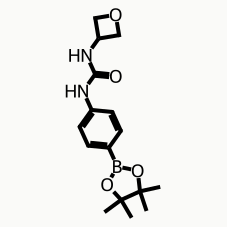 CC1(C)OB(c2ccc(NC(=O)NC3COC3)cc2)OC1(C)C